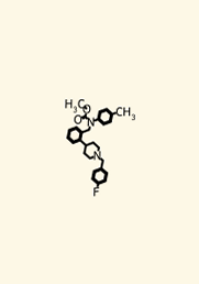 COC(=O)N(Cc1ccccc1C1CCN(Cc2ccc(F)cc2)CC1)c1ccc(C)cc1